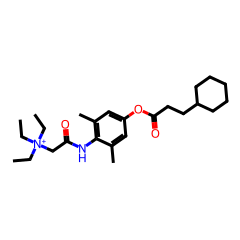 CC[N+](CC)(CC)CC(=O)Nc1c(C)cc(OC(=O)CCC2CCCCC2)cc1C